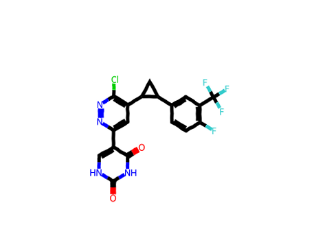 O=c1[nH]cc(-c2cc(C3CC3c3ccc(F)c(C(F)(F)F)c3)c(Cl)nn2)c(=O)[nH]1